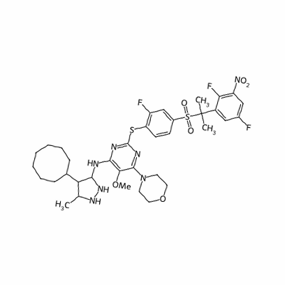 COc1c(NC2NNC(C)C2C2CCCCCCC2)nc(Sc2ccc(S(=O)(=O)C(C)(C)c3cc(F)cc([N+](=O)[O-])c3F)cc2F)nc1N1CCOCC1